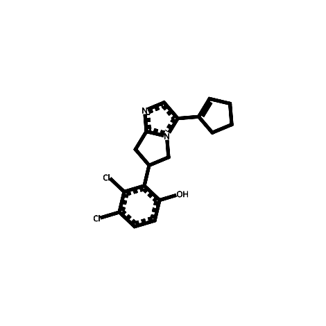 Oc1ccc(Cl)c(Cl)c1C1Cc2ncc(C3=CCCC3)n2C1